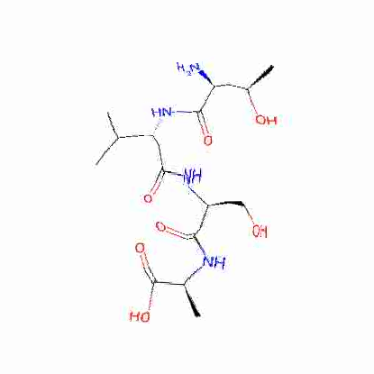 CC(C)[C@H](NC(=O)[C@@H](N)[C@@H](C)O)C(=O)N[C@@H](CO)C(=O)N[C@@H](C)C(=O)O